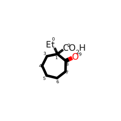 CCC1(C(=O)O)CCCCCC1=O